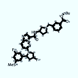 CCCCOC(=O)c1cccc(CN2CCC(NC(=O)c3cnc4ccc(N5CC(F)CC5c5cc(F)cc(SC)c5)nn34)C2)c1